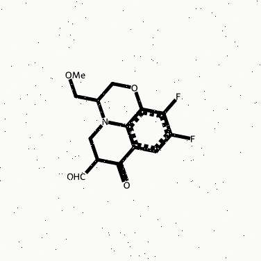 COCC1COc2c(F)c(F)cc3c2N1CC(C=O)C3=O